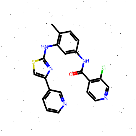 Cc1ccc(NC(=O)c2ccncc2Cl)cc1Nc1nc(-c2cccnc2)cs1